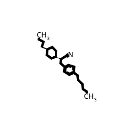 CCCCCCc1ccc(CC(C#N)[C@H]2CC[C@H](CCCC)CC2)cc1